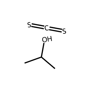 CC(C)O.S=C=S